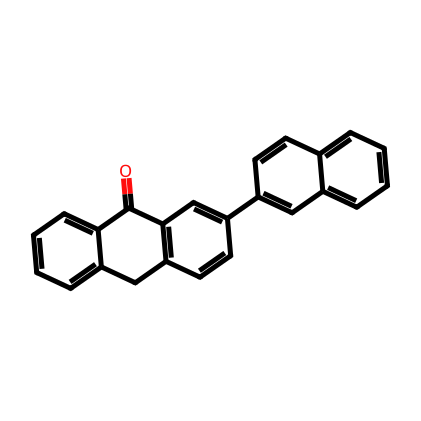 O=C1c2ccccc2Cc2ccc(-c3ccc4ccccc4c3)cc21